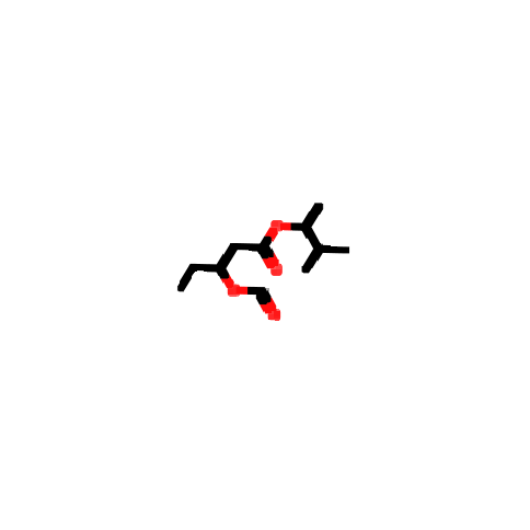 CCC(CC(=O)OC(C)C(C)C)O[C]=O